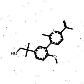 C=C(C)c1ccc(-c2cc(C(C)(C)CO)ccc2OC)c(C)n1